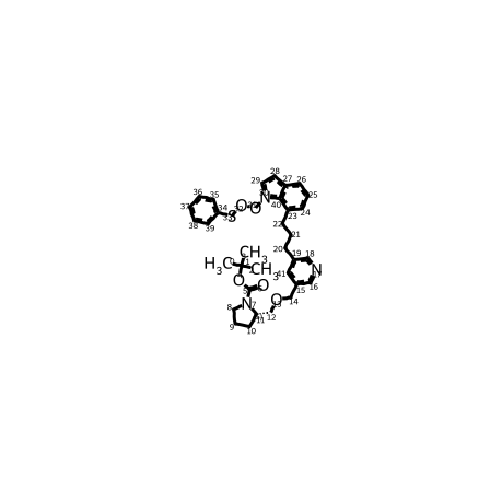 CC(C)(C)OC(=O)N1CCC[C@H]1COCc1cncc(CCCc2cccc3ccn(OOSc4ccccc4)c23)c1